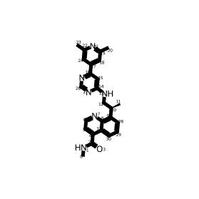 CNC(=O)c1ccnc2c([C@H](C)CNc3cc(-c4cc(C)nc(C)c4)ncn3)cccc12